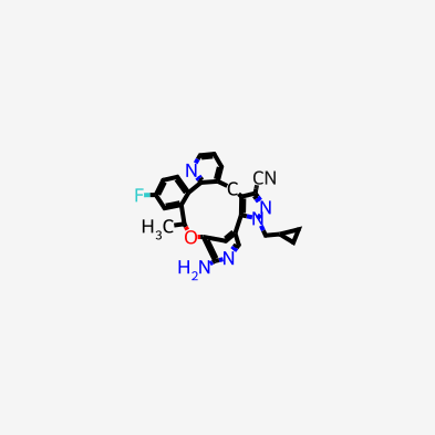 CC1Oc2cc(cnc2N)-c2c(c(C#N)nn2CC2CC2)Cc2cccnc2-c2ccc(F)cc21